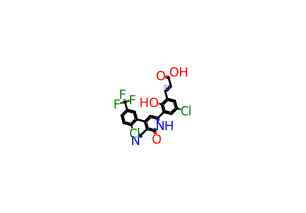 N#Cc1c(-c2cc(C(F)(F)F)ccc2Cl)cc(-c2cc(Cl)cc(/C=C/C(=O)O)c2O)[nH]c1=O